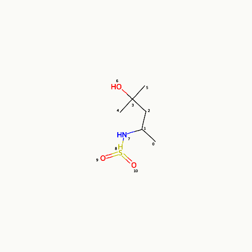 CC(CC(C)(C)O)N[SH](=O)=O